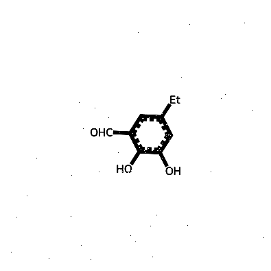 CCc1cc(O)c(O)c(C=O)c1